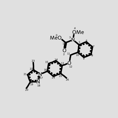 COC(=O)N(OC)c1ccccc1COc1ccc(-n2nc(C)cc2C)cc1C